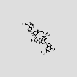 Nc1nc2c(ncn2[C@@H]2C[C@@H]3OP(=O)(S)O[C@H]4[C@@H](F)[C@H](n5cnc6c(N)ncnc65)O[C@@H]4CCOP(=O)(S)O[C@@H]2[C@@H]3O)c(=O)[nH]1